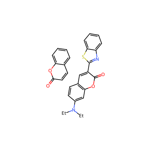 CCN(CC)c1ccc2cc(-c3nc4ccccc4s3)c(=O)oc2c1.O=c1ccc2ccccc2o1